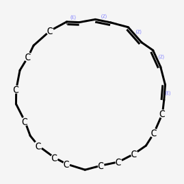 [C]1=C/C=C\C=C/C=C\C=C\CCCCCCCCCCCCCCCCCC/1